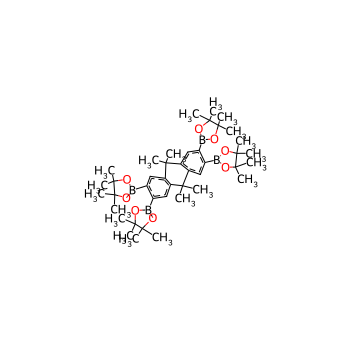 CC1(C)c2cc(B3OC(C)(C)C(C)(C)O3)c(B3OC(C)(C)C(C)(C)O3)cc2C(C)(C)c2cc(B3OC(C)(C)C(C)(C)O3)c(B3OC(C)(C)C(C)(C)O3)cc21